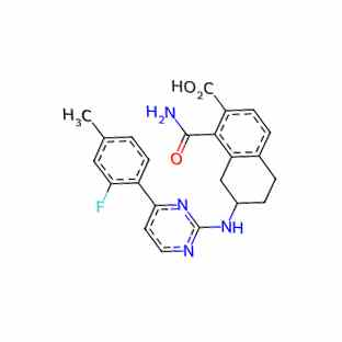 Cc1ccc(-c2ccnc(NC3CCc4ccc(C(=O)O)c(C(N)=O)c4C3)n2)c(F)c1